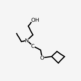 CCN(CCO)CCOC1CCC1